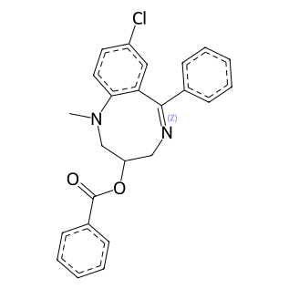 CN1CC(OC(=O)c2ccccc2)C/N=C(/c2ccccc2)c2cc(Cl)ccc21